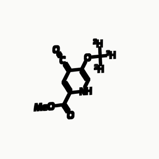 [2H]C([2H])([2H])OC1=CNC(C(=O)OC)=CC1=C=O